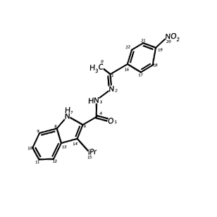 C/C(=N\NC(=O)c1[nH]c2ccccc2c1C(C)C)c1ccc([N+](=O)[O-])cc1